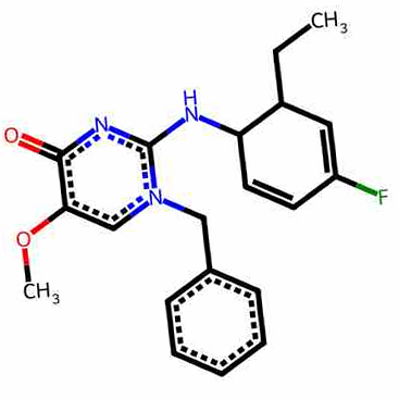 CCC1C=C(F)C=CC1Nc1nc(=O)c(OC)cn1Cc1ccccc1